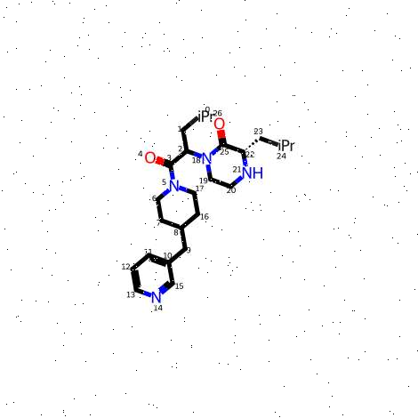 CC(C)CC(C(=O)N1CCC(Cc2cccnc2)CC1)N1CCN[C@@H](CC(C)C)C1=O